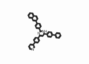 C1=C(c2ccc(-c3cccnc3)cc2)N=C(c2ccc(-c3ccc4ccccc4c3)cc2)NC1c1ccc(-c2ccccc2)cc1